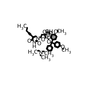 CCCC#Cc1cn([C@@H]2CC(O)(P(=O)(O)O)[C@H](COC(c3ccccc3)(c3ccc(OC)cc3)c3ccc(OC)cc3)O2)c(=O)[nH]c1=O.CCN(CC)CC